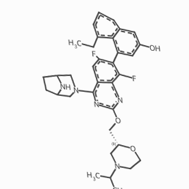 CCc1cccc2cc(O)cc(-c3c(F)cc4c(N5CC6CCC(C5)N6)nc(OC[C@H]5CN(C(C)C)CCO5)nc4c3F)c12